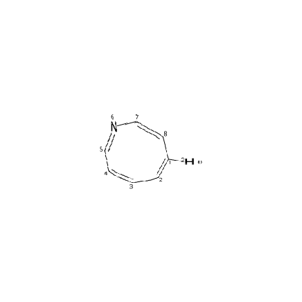 [2H]C1=CC=CC=NC=C1